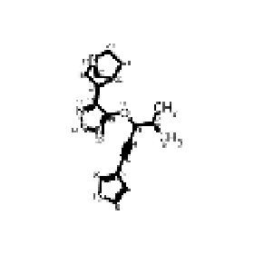 CC(C)C(C#Cc1ccsc1)Oc1nsnc1C1CN2CCC1C2